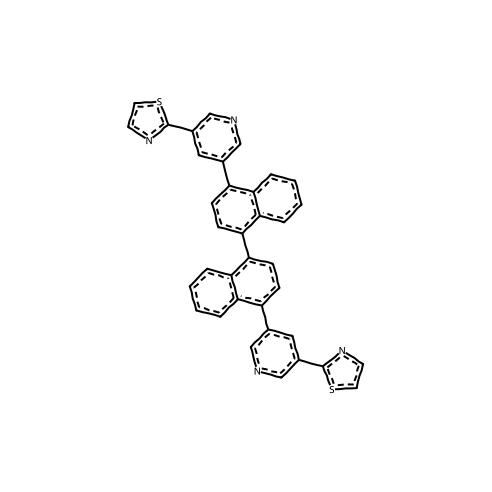 c1ccc2c(-c3ccc(-c4cncc(-c5nccs5)c4)c4ccccc34)ccc(-c3cncc(-c4nccs4)c3)c2c1